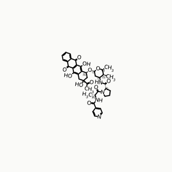 CC(=O)[C@]1(O)Cc2c(O)c3c(c(O)c2[C@@H](O[C@H]2C[C@H](NC(=O)[C@@H]4CCCN4C(=O)[C@@H](C)NC(=O)c4ccncc4)[C@H](C)[C@H](C)O2)C1)C(=O)c1ccccc1C3=O